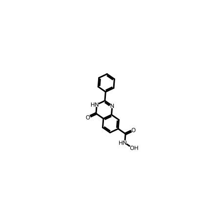 O=C(NO)c1ccc2c(=O)[nH]c(-c3ccccc3)nc2c1